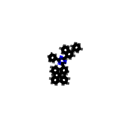 c1ccc(-c2nc(-c3ccc4c(c3)C3(c5ccccc5-c5ccccc53)c3ccccc3-4)nc(-c3ccc(-c4ccccc4)c4ccccc34)n2)cc1